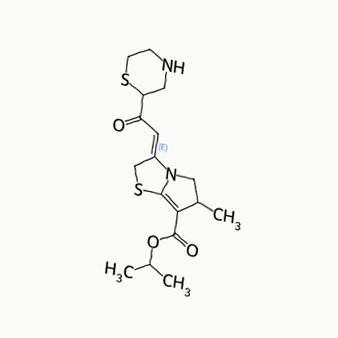 CC(C)OC(=O)C1=C2SC/C(=C\C(=O)C3CNCCS3)N2CC1C